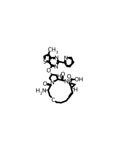 Cc1csc2c(O[C@@H]3C[C@H]4C(=O)N[C@]5(C(=O)O)C[C@H]5/C=C\CCCCC[C@H](N)C(=O)N4C3)nc(-c3ccccn3)nc12